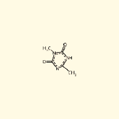 Cc1nc(=O)n(C)c(=O)[nH]1